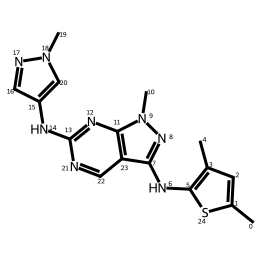 Cc1cc(C)c(Nc2nn(C)c3nc(Nc4cnn(C)c4)ncc23)s1